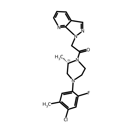 Cc1cc(N2CCN(C(=O)Cn3ncc4cccnc43)[C@@H](C)C2)c(F)cc1Cl